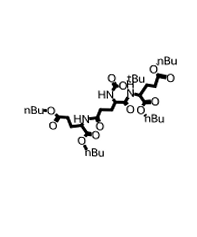 CCCCOC(=O)CCC(NC(=O)CCC(NC(=O)OC(C)(C)C)C(=O)NC(CCC(=O)OCCCC)C(=O)OCCCC)C(=O)OCCCC